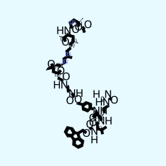 CC(=O)O[C@@H](C)/C=C\C(=O)N[C@@H]1C[C@H](C)[C@H](C/C=C(C)/C=C/[C@@H]2C[C@]3(CO3)C[C@@H](CC(=O)NCCNC(=O)OCc3ccc(NC(=O)[C@H](CCCNC(N)=O)NC(=O)[C@@H](NC(=O)OCC4c5ccccc5-c5ccccc54)C(C)C)cc3)O2)O[C@@H]1C